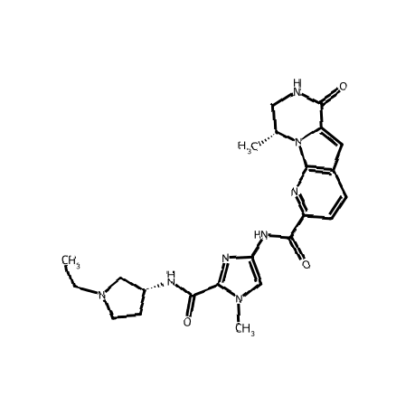 CCN1CC[C@@H](NC(=O)c2nc(NC(=O)c3ccc4cc5n(c4n3)[C@H](C)CNC5=O)cn2C)C1